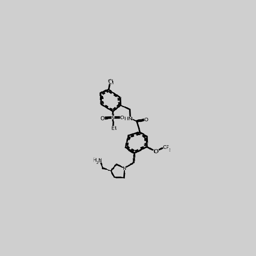 CCS(=O)(=O)c1ccc(Cl)cc1CNC(=O)c1ccc(CN2CC[C@@H](CN)C2)c(OC(F)(F)F)c1